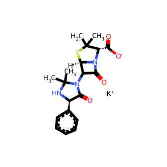 CC1(C)S[C@@H]2C(N3C(=O)[C@@H](c4ccccc4)NC3(C)C)C(=O)N2[C@H]1C(=O)[O-].[K+]